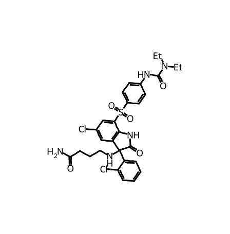 CCN(CC)C(=O)Nc1ccc(S(=O)(=O)c2cc(Cl)cc3c2NC(=O)C3(NCCCC(N)=O)c2ccccc2Cl)cc1